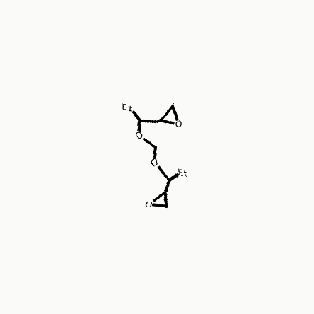 CCC(OCOC(CC)C1CO1)C1CO1